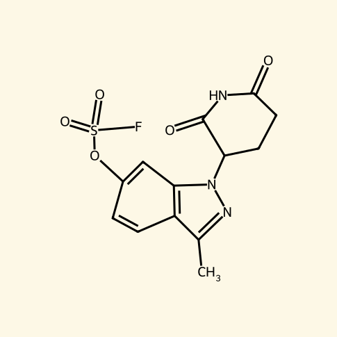 Cc1nn(C2CCC(=O)NC2=O)c2cc(OS(=O)(=O)F)ccc12